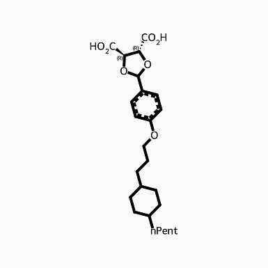 CCCCCC1CCC(CCCOc2ccc(C3O[C@@H](C(=O)O)[C@H](C(=O)O)O3)cc2)CC1